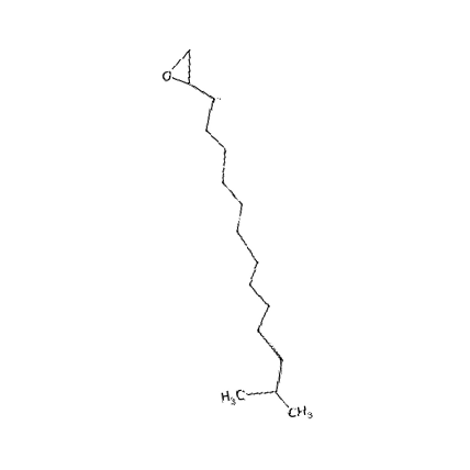 CC(C)CCCCCCCCCC[CH]C1CO1